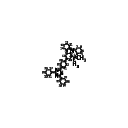 CC1(C)c2ccccc2-n2c3ccccc3c3cc(-c4ccc(-c5nc(-c6ccccc6)nc(-c6ccccc6)n5)cc4)cc1c32